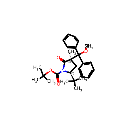 CC(C)(C)OC(=O)N1C(=O)[C@@](C)(C(O[SiH3])(c2ccccc2)c2ccccc2)C[C@H]1C(C)(C)C